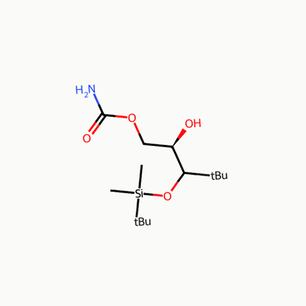 CC(C)(C)C(O[Si](C)(C)C(C)(C)C)[C@H](O)COC(N)=O